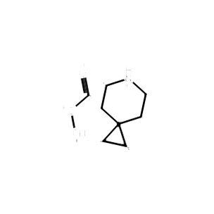 C1CC2(CCN1)CC2.COC=O